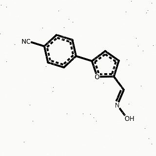 N#Cc1ccc(-c2ccc(C=NO)o2)cc1